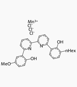 CCCCCCc1cccc(-c2cccc(-c3cccc(-c4cc(OC)ccc4O)n3)n2)c1O.[Cl-].[Cl-].[Cl-].[Mn+3]